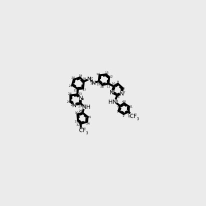 FC(F)(F)c1ccc(Nc2nccc(-c3cccc(/N=N/c4cccc(-c5ccnc(Nc6ccc(C(F)(F)F)cc6)n5)c4)c3)n2)cc1